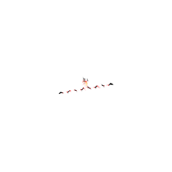 C=CCOCCOCCOCCOCCOCCOCCOCC=C.O=S(=O)([O-])[O-].[Na+].[Na+]